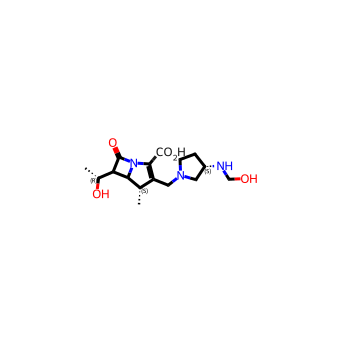 C[C@@H](O)C1C(=O)N2C(C(=O)O)=C(CN3CC[C@H](NCO)C3)[C@H](C)C12